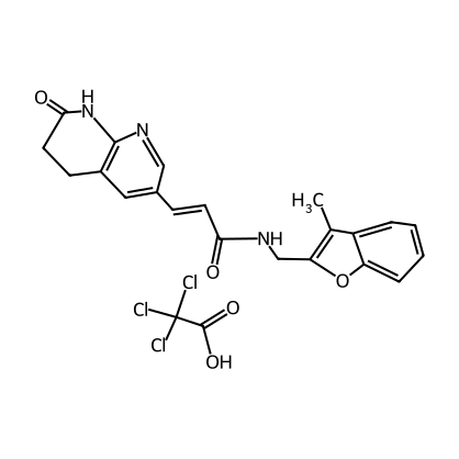 Cc1c(CNC(=O)/C=C/c2cnc3c(c2)CCC(=O)N3)oc2ccccc12.O=C(O)C(Cl)(Cl)Cl